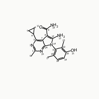 Cc1nc(C2CC2)c2c(C(N)=O)c(N)n(-c3c(C)ccc(O)c3C)c2n1